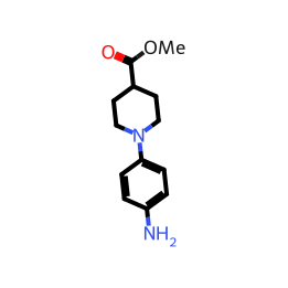 COC(=O)C1CCN(c2ccc(N)cc2)CC1